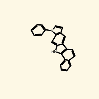 c1ccc(-n2ccc3cc4c(cc32)[nH]c2c3ccccc3ccc42)cc1